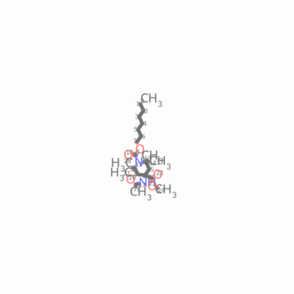 CCCCCCCCOC(=O)N1C(C)(C)CC(NC(C)=O)(C(=O)OC)CC1(C)C